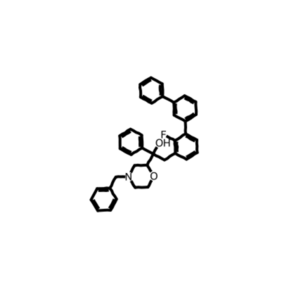 OC(Cc1cccc(-c2cccc(-c3ccccc3)c2)c1F)(c1ccccc1)C1CN(Cc2ccccc2)CCO1